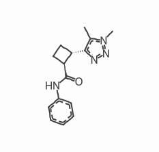 Cc1c([C@H]2CC[C@@H]2C(=O)Nc2ccccc2)nnn1C